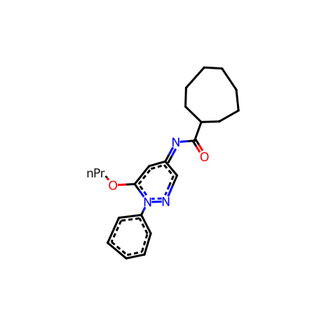 CCCOc1cc(=NC(=O)C2CCCCCCC2)cnn1-c1ccccc1